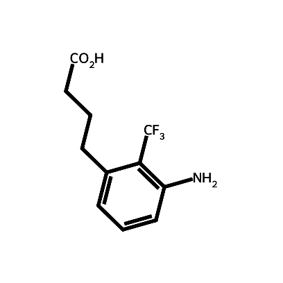 Nc1cccc(CCCC(=O)O)c1C(F)(F)F